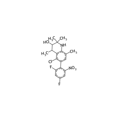 Cc1cc(-c2c(F)cc(F)cc2[N+](=O)[O-])c(Cl)c2c1NC(C)(C)C(O)C2C